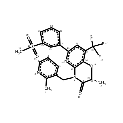 Cc1ncccc1CN1C(=O)[C@@H](C)Oc2c(C(F)(F)F)cc(-c3cccc(S(C)(=O)=O)c3)nc21